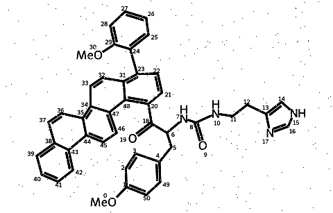 COc1ccc(CC(NC(=O)NCCc2c[nH]cn2)C(=O)c2ccc(-c3ccccc3OC)c3ccc4c5ccc6ccccc6c5ccc4c23)cc1